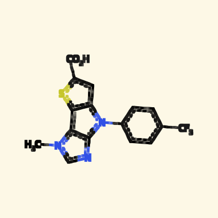 Cn1cnc2c1c1sc(C(=O)O)cc1n2-c1ccc(C(F)(F)F)cc1